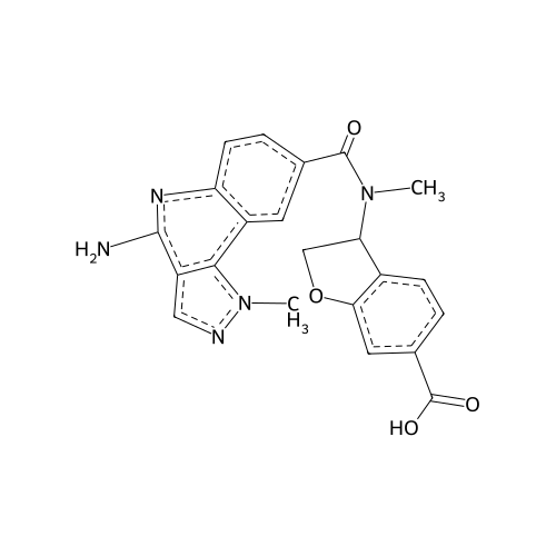 CN(C(=O)c1ccc2nc(N)c3cnn(C)c3c2c1)C1COc2cc(C(=O)O)ccc21